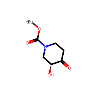 CC(C)(C)OC(=O)N1CCC(=O)[C@@H](O)C1